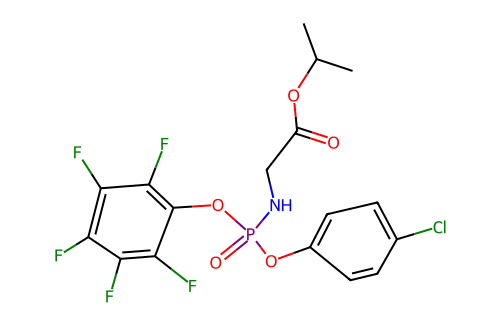 CC(C)OC(=O)CNP(=O)(Oc1ccc(Cl)cc1)Oc1c(F)c(F)c(F)c(F)c1F